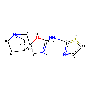 c1csc(NC2=NC[C@]3(CN4CCC3CC4)O2)n1